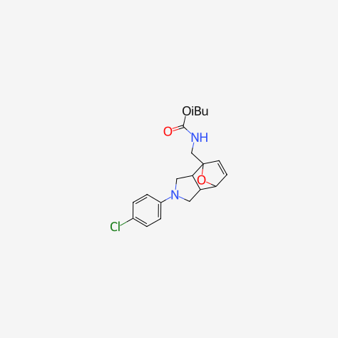 CC(C)COC(=O)NCC12C=CC(O1)C1CN(c3ccc(Cl)cc3)CC12